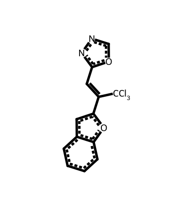 ClC(Cl)(Cl)C(=Cc1nnco1)c1cc2ccccc2o1